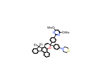 CCC1(CC)c2ccccc2-c2c1c1c(c3ccccc23)OC(c2ccc(-c3nc(OC)cc(OC)n3)cc2)(c2ccc(N3CCSCC3)cc2)C=C1